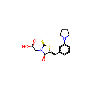 O=C(O)CN1C(=O)C(=Cc2cccc(N3CCCC3)c2)SC1=S